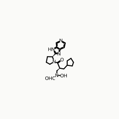 O=CN(O)C[C@H](CC1CCCC1)C(=O)N1CCC[C@H]1c1nc2ccncc2[nH]1